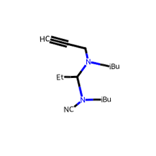 C#CCN(C(C)CC)C(CC)N(C#N)C(C)CC